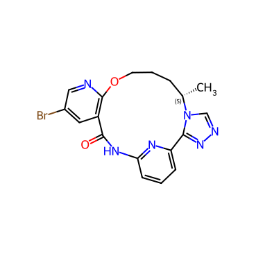 C[C@H]1CCCOc2ncc(Br)cc2C(=O)Nc2cccc(n2)-c2nncn21